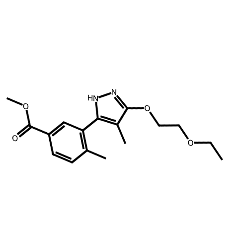 CCOCCOc1n[nH]c(-c2cc(C(=O)OC)ccc2C)c1C